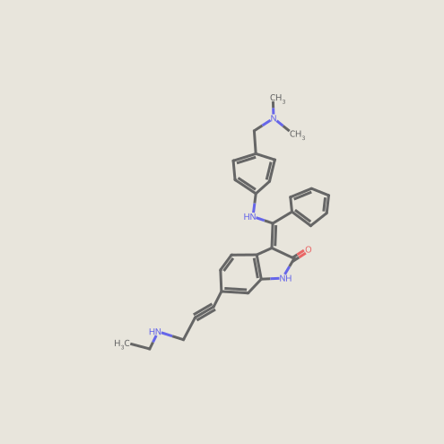 CCNCC#Cc1ccc2c(c1)NC(=O)C2=C(Nc1ccc(CN(C)C)cc1)c1ccccc1